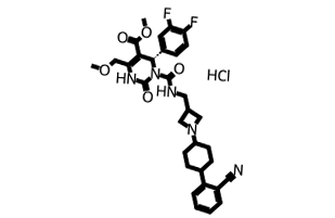 COCC1=C(C(=O)OC)[C@H](c2ccc(F)c(F)c2)N(C(=O)NCC2CN(C3CCC(c4ccccc4C#N)CC3)C2)C(=O)N1.Cl